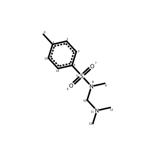 Cc1ccc(S(=O)(=O)N(C)CN(C)C)cc1